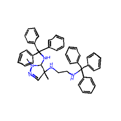 CN1N=CC(C)(NCCNC(c2ccccc2)(c2ccccc2)c2ccccc2)C1NC(c1ccccc1)(c1ccccc1)c1ccccc1